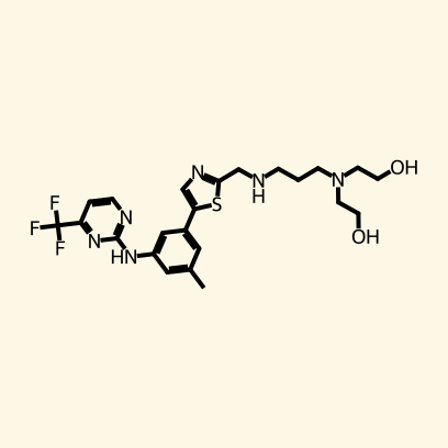 Cc1cc(Nc2nccc(C(F)(F)F)n2)cc(-c2cnc(CNCCCN(CCO)CCO)s2)c1